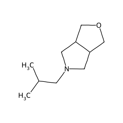 CC(C)CN1CC2COCC2C1